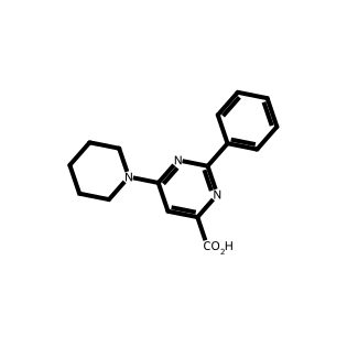 O=C(O)c1cc(N2CCCCC2)nc(-c2ccccc2)n1